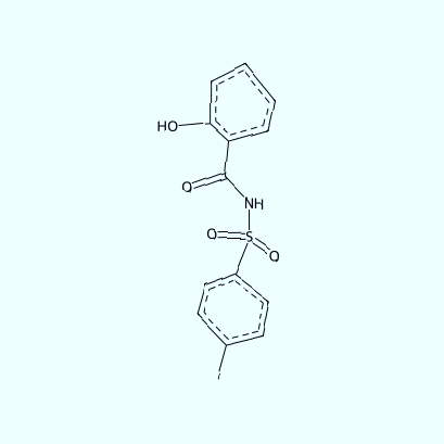 Cc1ccc(S(=O)(=O)NC(=O)c2ccccc2O)cc1